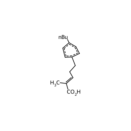 CCCCc1ccc(CCC=C(C)C(=O)O)cc1